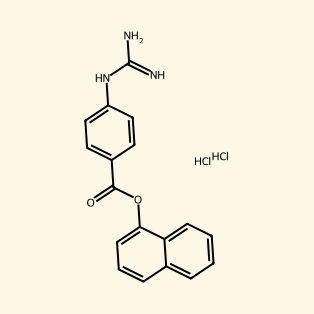 Cl.Cl.N=C(N)Nc1ccc(C(=O)Oc2cccc3ccccc23)cc1